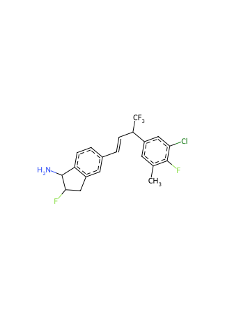 Cc1cc(C(/C=C/c2ccc3c(c2)CC(F)C3N)C(F)(F)F)cc(Cl)c1F